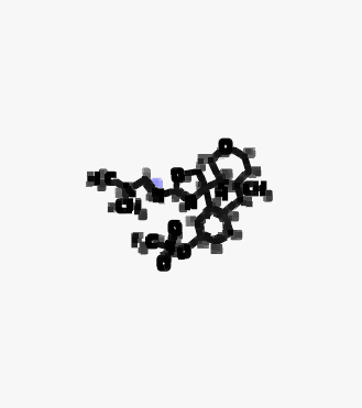 CN(C)/C=N/C1=NC2(CO1)c1cc(OS(=O)(=O)C(F)(F)F)ccc1C[C@]1(C)CCOC[C@@H]21